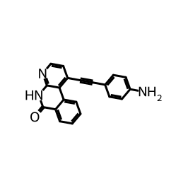 Nc1ccc(C#Cc2ccnc3[nH]c(=O)c4ccccc4c23)cc1